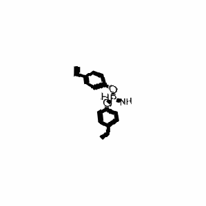 C=Cc1ccc(O[PH](=N)Oc2ccc(C=C)cc2)cc1